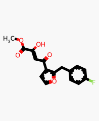 COC(=O)C(O)=CC(=O)c1ccoc1Cc1ccc(F)cc1